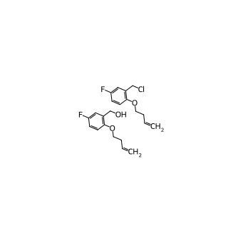 C=CCCOc1ccc(F)cc1CCl.C=CCCOc1ccc(F)cc1CO